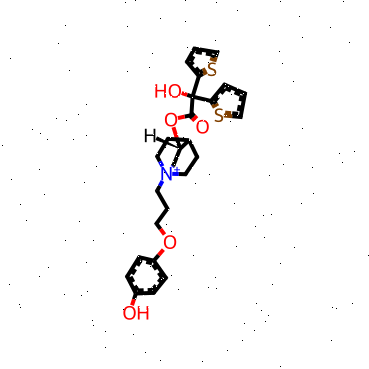 O=C(O[C@H]1C[N+]2(CCCOc3ccc(O)cc3)CCC1CC2)C(O)(c1cccs1)c1cccs1